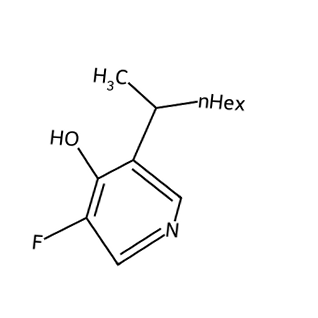 CCCCCCC(C)c1cncc(F)c1O